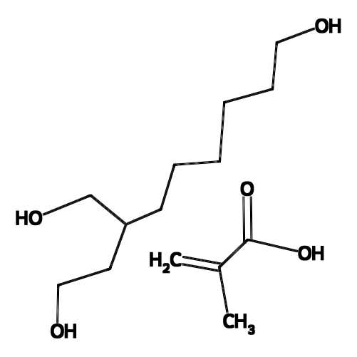 C=C(C)C(=O)O.OCCCCCCC(CO)CCO